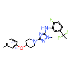 C=C(C)/C=C(\C=C/C)OC1CCN(c2nc(Nc3cc(C(C)(F)F)ccc3F)n(C)n2)CC1